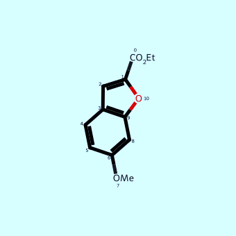 CCOC(=O)c1cc2ccc(OC)cc2o1